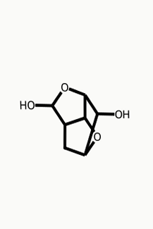 OC1OC2C(O)C3CC1C2O3